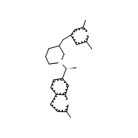 Cc1cc(CC2CCCN([C@@H](C)c3ccc4ccc(C)nc4c3)C2)cc(C)n1